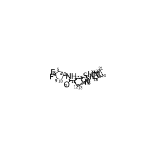 O=C(NC1CCC(F)(F)CC1)c1ccc2nc(N3CC4CCC(C3)N4)sc2c1